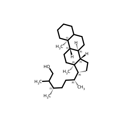 CC(CO)[C@@H](C)CC[C@@H](C)[C@H]1CC[C@H]2[C@@H]3CCC4CCCC[C@]4(C)[C@H]3CC[C@]12C